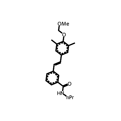 CCCNC(=O)c1cccc(/C=C/c2cc(C)c(OCOC)c(C)c2)c1